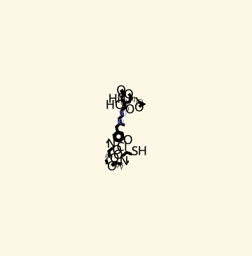 CC[C@H](CC(=O)N(C)c1cc(C/C(C)=C/C=C/[C@@H](OC)[C@@]2(O)C[C@@H](C[C@H]3CO3)OC(=O)N2)cc(OC)c1Cl)OC(=O)[C@@H](C)N(C)C(=O)CCS